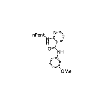 CCCCCNc1ncccc1C(=O)Nc1cccc(OC)c1